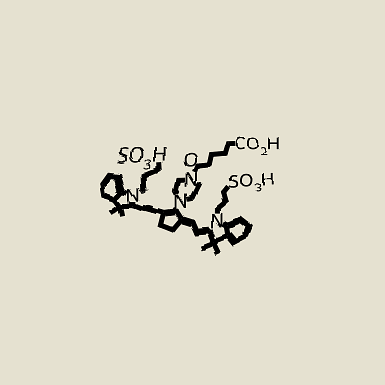 CC1(C)C(/C=C/C2=C(N3CCN(C(=O)CCCCC(=O)O)CC3)C(=C/C=C3\N(CCCS(=O)(=O)O)c4ccccc4C3(C)C)/CC2)=[N+](CCCS(=O)(=O)O)c2ccccc21